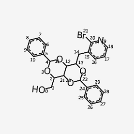 OCC1OC(c2ccccc2)OC2C(Cc3cccnc3Br)OC(c3ccccc3)OC12